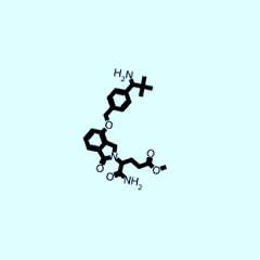 COC(=O)CCC(C(N)=O)N1Cc2c(OCc3ccc(C(N)C(C)(C)C)cc3)cccc2C1=O